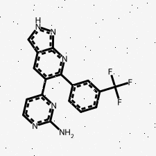 Nc1nccc(-c2cc3c[nH]nc3nc2-c2cccc(C(F)(F)F)c2)n1